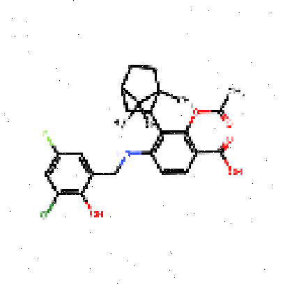 CC(=O)Oc1c(C(=O)O)ccc(NCc2cc(F)cc(Cl)c2O)c1C1CC2CCC1(C)C2(C)C